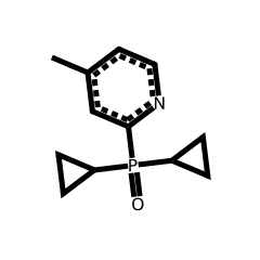 Cc1ccnc(P(=O)(C2CC2)C2CC2)c1